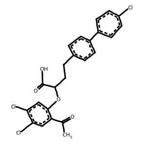 CC(=O)c1cc(Cl)c(Cl)cc1OC(CCc1ccc(-c2ccc(Cl)cc2)cc1)C(=O)O